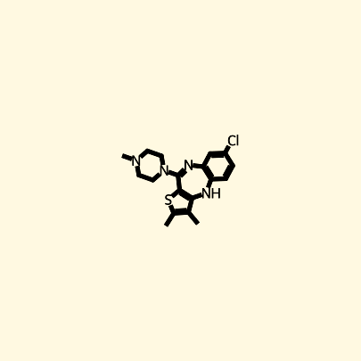 Cc1sc2c(c1C)Nc1ccc(Cl)cc1N=C2N1CCN(C)CC1